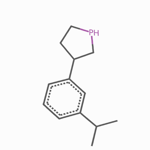 CC(C)c1cccc(C2CCPC2)c1